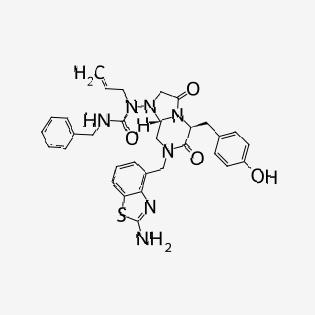 C=CCN(C(=O)NCc1ccccc1)N1CC(=O)N2[C@@H](Cc3ccc(O)cc3)C(=O)N(Cc3cccc4sc(N)nc34)C[C@@H]21